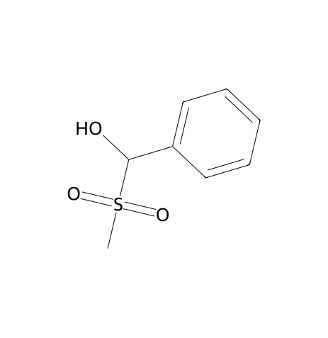 CS(=O)(=O)C(O)c1ccccc1